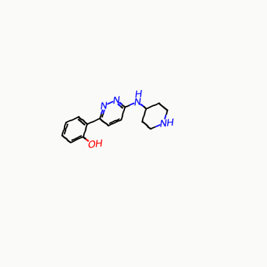 Oc1ccccc1-c1ccc(NC2CCNCC2)nn1